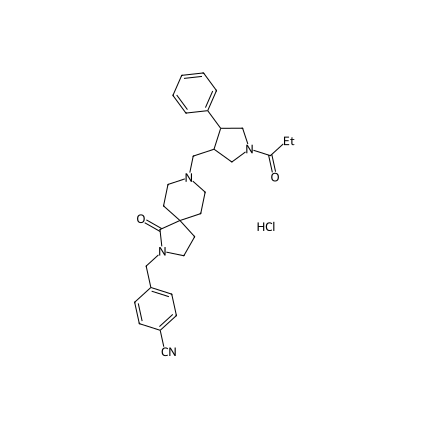 CCC(=O)N1CC(CN2CCC3(CC2)CCN(Cc2ccc(C#N)cc2)C3=O)C(c2ccccc2)C1.Cl